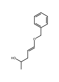 CC(O)CC=COCc1ccccc1